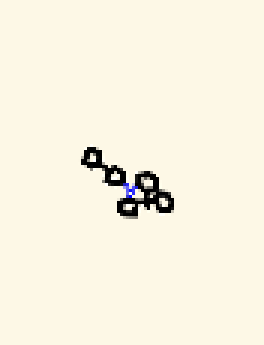 CC1(c2ccccc2)c2ccccc2N(c2ccc(-c3ccccc3)cc2)c2ccccc21